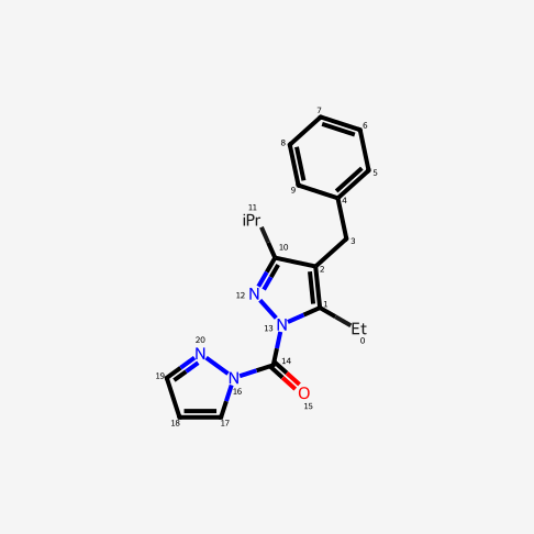 CCc1c(Cc2ccccc2)c(C(C)C)nn1C(=O)n1cccn1